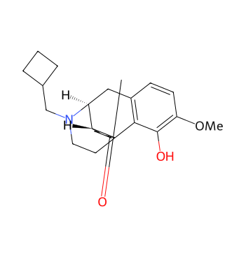 COc1ccc2c(c1O)C13CCN(CC4CCC4)[C@@H](C2)[C@H]1CCC(=O)C3